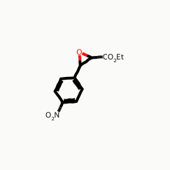 CCOC(=O)C1OC1c1ccc([N+](=O)[O-])cc1